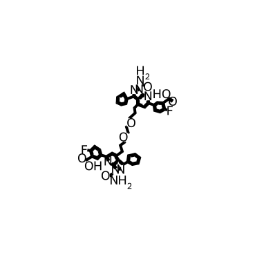 NC(=O)n1nc(-c2ccccc2)c2c(CCCOCCOCCCc3cc(-c4ccc(F)c(C(=O)O)c4)nc4c3c(-c3ccccc3)nn4C(N)=O)cc(-c3ccc(F)c(C(=O)O)c3)nc21